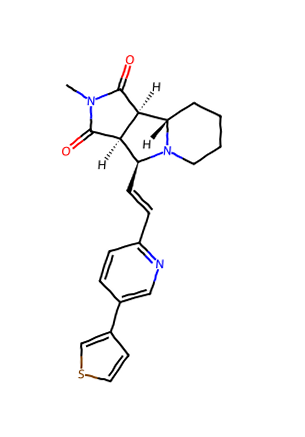 CN1C(=O)[C@@H]2[C@H](C1=O)[C@H](/C=C/c1ccc(-c3ccsc3)cn1)N1CCCC[C@@H]21